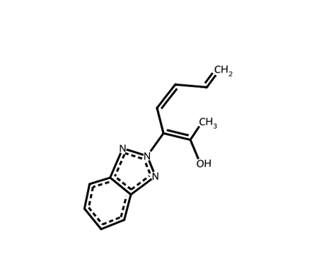 C=C/C=C\C(=C(/C)O)n1nc2ccccc2n1